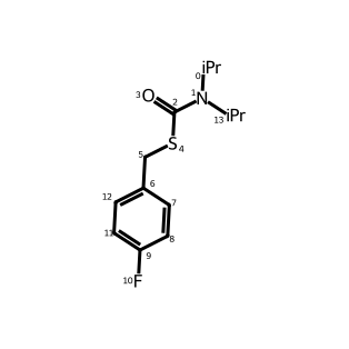 CC(C)N(C(=O)SCc1ccc(F)cc1)C(C)C